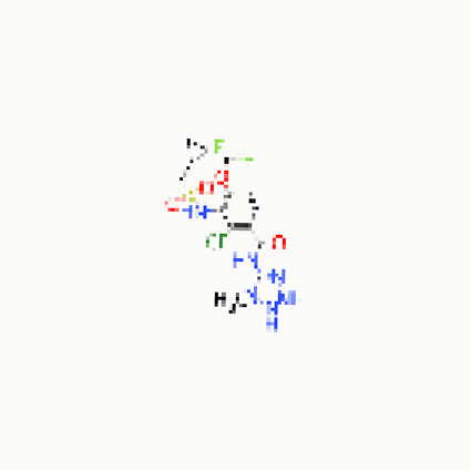 CN1NNN=C1NC(=O)c1ccc(OC(F)F)c(NS(=O)(=O)CC2CC2)c1Cl